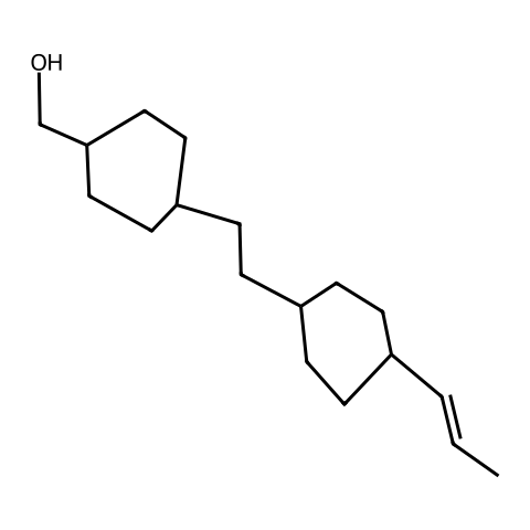 CC=CC1CCC(CCC2CCC(CO)CC2)CC1